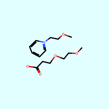 COCCOCCC(=O)[O-].COCC[n+]1ccccc1